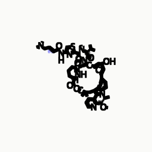 CCn1c(-c2cccnc2[C@H](C)OC)c2c3cc(ccc31)-c1cc(O)cc(c1)C[C@H](NC(=O)[C@H](C(C)C)N(C)C(=O)c1nc(NC(=O)/C=C/CN(C)C)cs1)C(=O)N1CCC[C@H](N1)C(=O)OCC(C)(C)C2